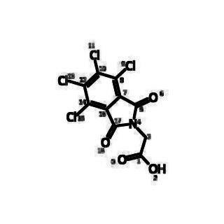 O=C(O)CN1C(=O)c2c(Cl)c(Cl)c(Cl)c(Cl)c2C1=O